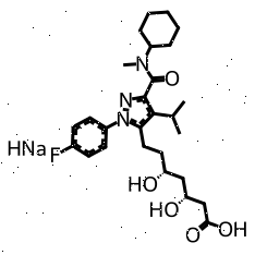 CC(C)c1c(C(=O)N(C)C2CCCCC2)nn(-c2ccc(F)cc2)c1CC[C@@H](O)C[C@@H](O)CC(=O)O.[NaH]